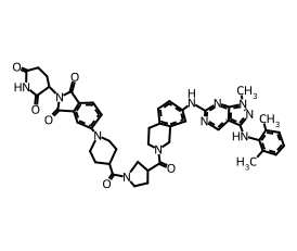 Cc1cccc(C)c1Nc1nn(C)c2nc(Nc3ccc4c(c3)CN(C(=O)C3CCN(C(=O)C5CCN(c6ccc7c(c6)C(=O)N(C6CCC(=O)NC6=O)C7=O)CC5)C3)CC4)ncc12